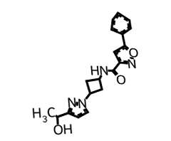 CC(O)c1ccn(C2CC(NC(=O)c3cc(-c4ccccc4)on3)C2)n1